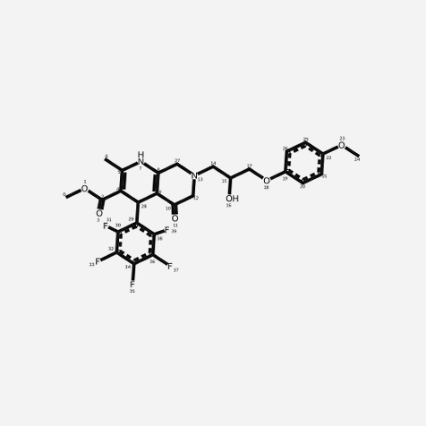 COC(=O)C1=C(C)NC2=C(C(=O)CN(CC(O)COc3ccc(OC)cc3)C2)C1c1c(F)c(F)c(F)c(F)c1F